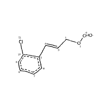 O=[C]OCC=Cc1ccccc1Cl